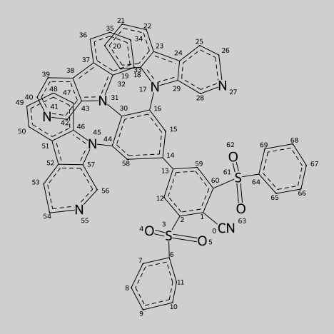 N#Cc1c(S(=O)(=O)c2ccccc2)cc(-c2cc(-n3c4ccccc4c4ccncc43)c(-n3c4ccccc4c4ccncc43)c(-n3c4ccccc4c4ccncc43)c2)cc1S(=O)(=O)c1ccccc1